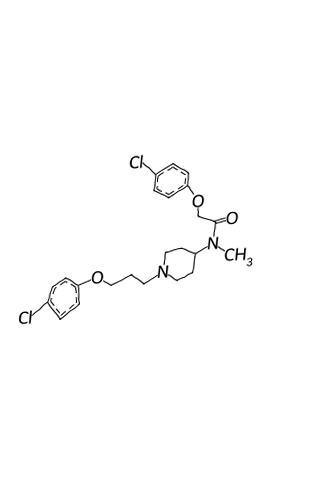 CN(C(=O)COc1ccc(Cl)cc1)C1CCN(CCCOc2ccc(Cl)cc2)CC1